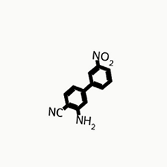 N#Cc1ccc(-c2cccc([N+](=O)[O-])c2)cc1N